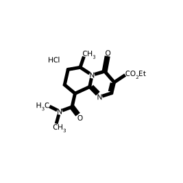 CCOC(=O)c1cnc2n(c1=O)C(C)CCC2C(=O)N(C)C.Cl